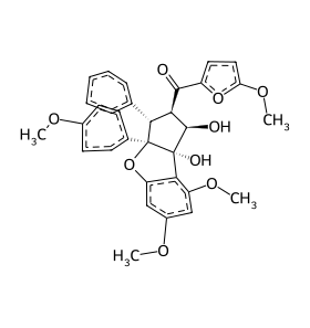 COc1ccc([C@@]23Oc4cc(OC)cc(OC)c4[C@]2(O)[C@H](O)[C@H](C(=O)c2ccc(OC)o2)[C@H]3c2ccccc2)cc1